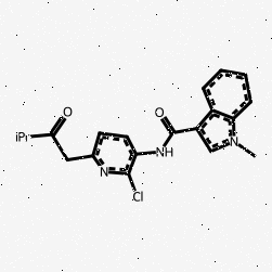 CC(C)C(=O)Cc1ccc(NC(=O)c2cn(C)c3ccccc23)c(Cl)n1